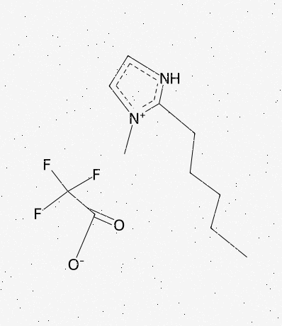 CCCCCc1[nH]cc[n+]1C.O=C([O-])C(F)(F)F